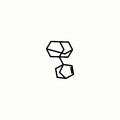 C1=CC2(C34CC5CC(CC(C5)C3)C4)CCC1C2